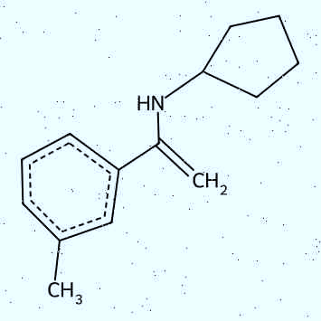 C=C(NC1CCCC1)c1cccc(C)c1